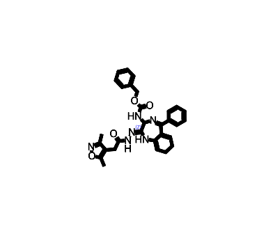 Cc1noc(C)c1CC(=O)N/N=C1\NC2=CCCC=C2C(c2ccccc2)=NC1NC(=O)OCc1ccccc1